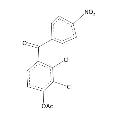 CC(=O)Oc1ccc(C(=O)c2ccc([N+](=O)[O-])cc2)c(Cl)c1Cl